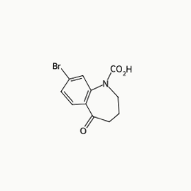 O=C1CCCN(C(=O)O)c2cc(Br)ccc21